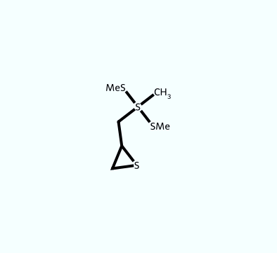 CSS(C)(CC1CS1)SC